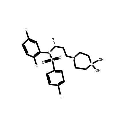 C[C@H](CCN1CCS(O)(O)CC1)N(c1cc(Cl)ccc1Cl)S(=O)(=O)c1ccc(Cl)cc1